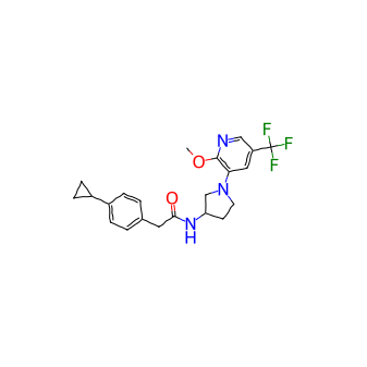 COc1ncc(C(F)(F)F)cc1N1CCC(NC(=O)Cc2ccc(C3CC3)cc2)C1